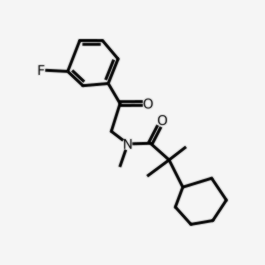 CN(CC(=O)c1cccc(F)c1)C(=O)C(C)(C)C1CCCCC1